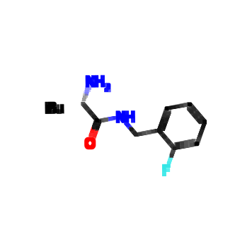 CC[C@H](C)[C@H](N)C(=O)NCc1ccccc1F